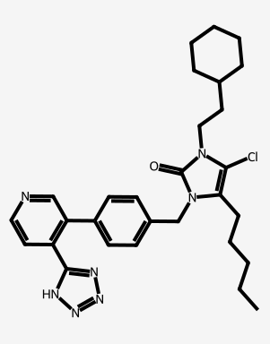 CCCCCc1c(Cl)n(CCC2CCCCC2)c(=O)n1Cc1ccc(-c2cnccc2-c2nnn[nH]2)cc1